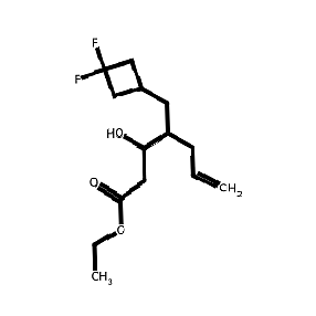 C=CCC(CC1CC(F)(F)C1)C(O)CC(=O)OCC